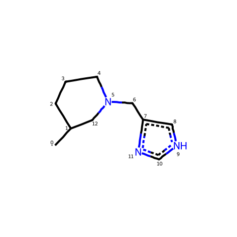 [CH2]C1CCCN(Cc2c[nH]cn2)C1